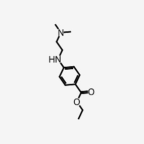 CCOC(=O)c1ccc(NCCN(C)C)cc1